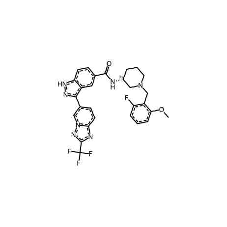 COc1cccc(F)c1CN1CCC[C@@H](NC(=O)c2ccc3[nH]nc(-c4ccc5nc(C(F)(F)F)nn5c4)c3c2)C1